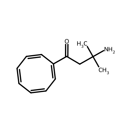 CC(C)(N)CC(=O)C1=C/C=C\C=C/C=C\1